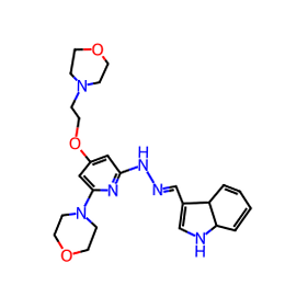 C1=CC2NC=C(/C=N/Nc3cc(OCCN4CCOCC4)cc(N4CCOCC4)n3)C2C=C1